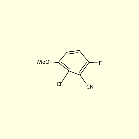 COc1ccc(F)c(C#N)c1Cl